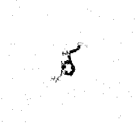 Cn1ccc(NCC(F)(F)F)n1